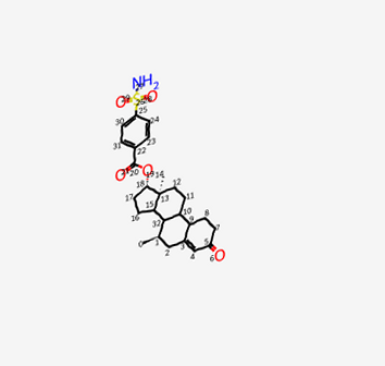 C[C@@H]1CC2=CC(=O)CCC2C2CC[C@@]3(C)C(CC[C@@H]3OC(=O)c3ccc(S(N)(=O)=O)cc3)C21